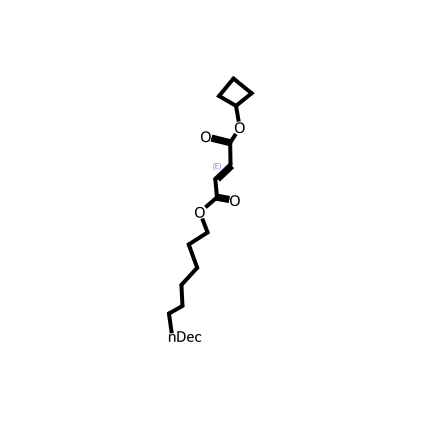 CCCCCCCCCCCCCCCCOC(=O)/C=C/C(=O)OC1CCC1